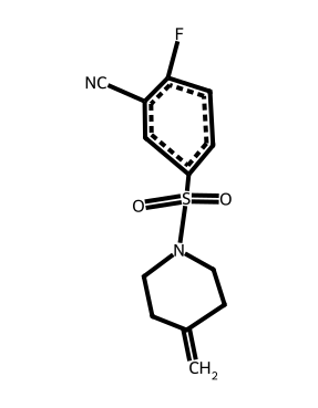 C=C1CCN(S(=O)(=O)c2ccc(F)c(C#N)c2)CC1